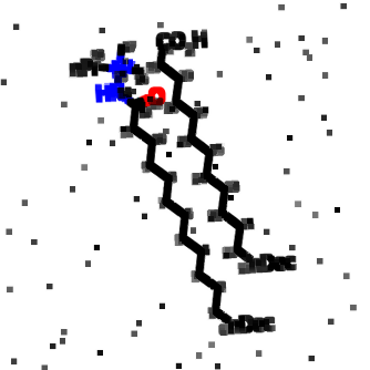 CCCCCCCCCCCCCCCCCCCCCC(=O)N[N+](C)(C)CCC.CCCCCCCCCCCCCCCCCCCCCC(=O)O